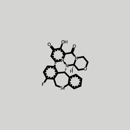 O=C1c2c(O)c(=O)ccn2N([C@@H]2c3ccccc3[Se]Cc3c(F)ccc(F)c32)[C@@H]2COCCN12